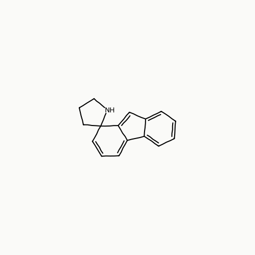 C1=CC2(CCCN2)C2=Cc3ccccc3C2=C1